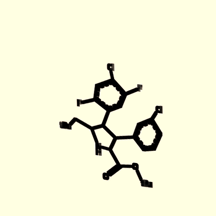 CC(C)(C)CC1NC(C(=O)OC(C)(C)C)C(c2cccc(Cl)c2)C1c1cc(F)c(Cl)cc1F